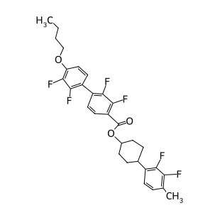 CCCCOc1ccc(-c2ccc(C(=O)OC3CCC(c4ccc(C)c(F)c4F)CC3)c(F)c2F)c(F)c1F